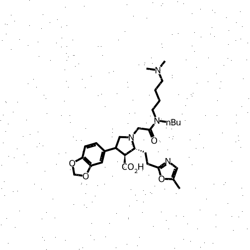 CCCCN(CCCCN(C)C)C(=O)CN1CC(c2ccc3c(c2)OCO3)[C@H](C(=O)O)[C@H]1CCc1ncc(C)o1